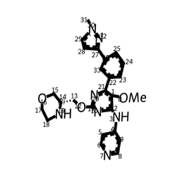 COc1c(Nc2ccncc2)nc(OC[C@H]2COCCN2)nc1-c1cccc(-c2ccn(C)n2)c1